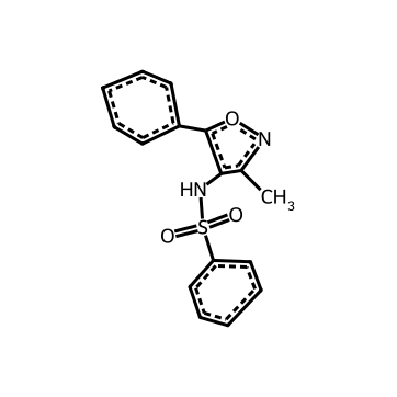 Cc1noc(-c2ccccc2)c1NS(=O)(=O)c1ccccc1